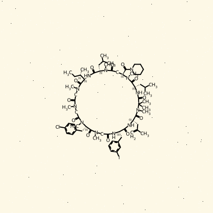 C=C(C)C[C@@H]1NC(=O)[C@H](Cc2cccc(I)c2)NC(=O)CN(C)C(=O)[C@H](Cc2ccc(Cl)cc2)N(C)C(=O)CN(C)C(=O)CN(C)C(=O)[C@H]([C@@H](C)CC)NC(=O)[C@H](CC(C)C)N(C)C(=O)C[C@@H](C(=O)N2CCCCC2)N(C)C(=O)[C@H](CC(C)C)NC(=O)C(C)(C)N(C)C1=O